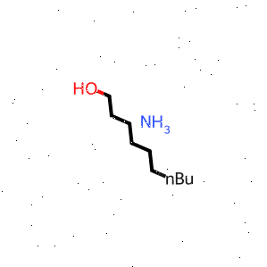 CCCCCCCCCCO.N